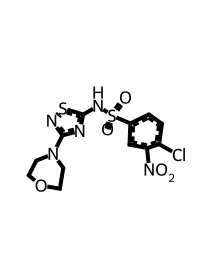 O=[N+]([O-])c1cc(S(=O)(=O)Nc2nc(N3CCOCC3)ns2)ccc1Cl